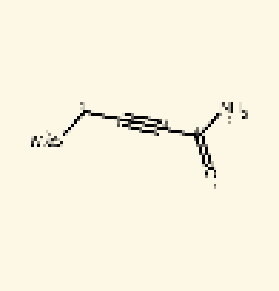 CSCC#CC(N)=O